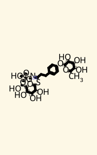 C[C@H]1O[C@@H](Oc2ccc(CC/C(=N/OS(=O)(=O)O)S[C@@H]3O[C@H](CO)[C@@H](O)[C@H](O)[C@H]3O)cc2)[C@H](O)[C@@H](O)[C@@H]1O